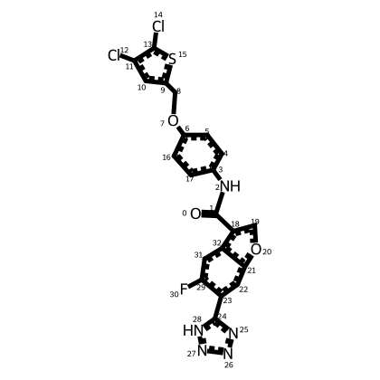 O=C(Nc1ccc(OCc2cc(Cl)c(Cl)s2)cc1)c1coc2cc(-c3nnn[nH]3)c(F)cc12